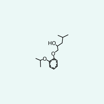 CC(C)CC(O)COc1ccccc1OC(C)C